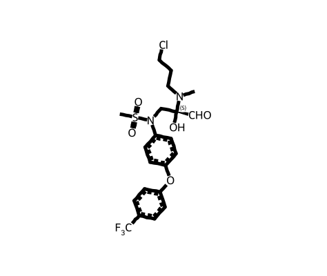 CN(CCCCl)[C@@](O)(C=O)CN(c1ccc(Oc2ccc(C(F)(F)F)cc2)cc1)S(C)(=O)=O